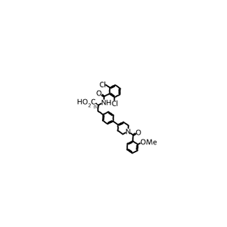 COc1ccccc1C(=O)N1CC=C(c2ccc(C[C@H](NC(=O)c3c(Cl)cccc3Cl)C(=O)O)cc2)CC1